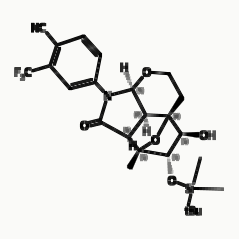 CC(C)(C)[Si](C)(C)O[C@H]1[C@H](O)[C@@]23CCO[C@H]4[C@@H]2[C@H](C(=O)N4c2ccc(C#N)c(C(F)(F)F)c2)[C@]1(C)O3